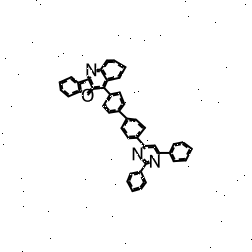 c1ccc(-c2cc(-c3ccc(-c4ccc(-c5c6ccccc6nc6c5oc5ccccc56)cc4)cc3)nc(-c3ccccc3)n2)cc1